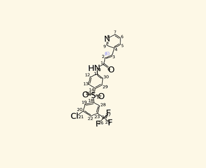 O=C(/C=C/c1cccnc1)Nc1ccc(S(=O)(=O)c2cc(Cl)cc(C(F)(F)F)c2)cc1